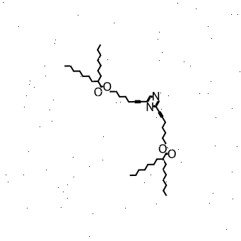 CCCCCCCC(CCCCCCC)C(=O)OCCCCCC#Cc1cncc(C#CCCCCCOC(=O)C(CCCCCCC)CCCCCCC)n1